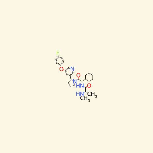 CN[C@@H](C)C(=O)N[C@H](C(=O)N1CCC[C@H]1c1cncc(Oc2ccc(F)cc2)c1)C1CCCCC1